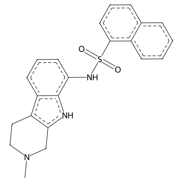 CN1CCc2c([nH]c3c(NS(=O)(=O)c4cccc5ccccc45)cccc23)C1